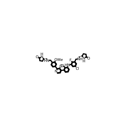 COc1cc(-c2nccc(-c3cccc(Nc4cc(Cl)cc(CNC[C@@H]5CCC(=O)N5)c4F)c3Cl)c2Cl)ccc1CNC[C@@H]1CCC(=O)N1